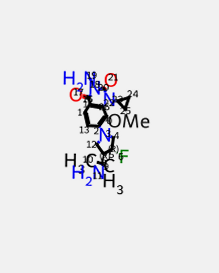 COc1c(N2C[C@H](F)[C@@H](C(C)(C)N)C2)ccc2c(=O)n(N)c(=O)n(C3CC3)c12